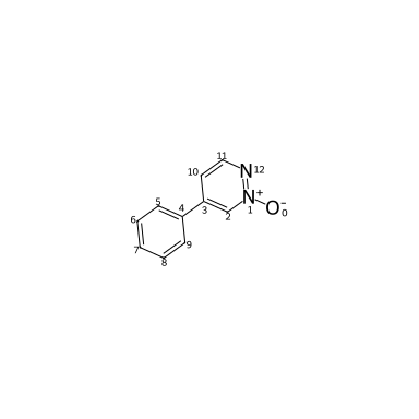 [O-][n+]1cc(-c2ccccc2)ccn1